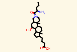 CCCC(N)C(=O)N1CCC2(C)C(CC(O)C3C4CCC(CCCC(=O)O)C4(C)CCC32)C1